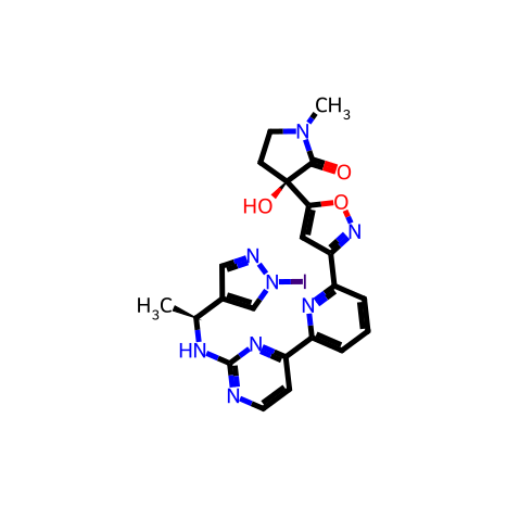 C[C@H](Nc1nccc(-c2cccc(-c3cc([C@]4(O)CCN(C)C4=O)on3)n2)n1)c1cnn(I)c1